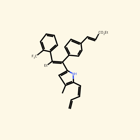 C=C/C=C\c1[nH]c(/C(=C(\CC)c2ccccc2C(F)(F)F)c2ccc(/C=C/C(=O)OCC)cc2)cc1C